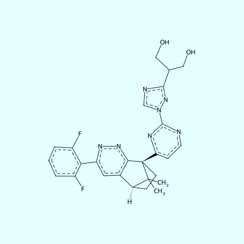 CC1(C)[C@H]2CC[C@@]1(c1ccnc(-n3cnc(C(CO)CO)n3)n1)c1nnc(-c3c(F)cccc3F)cc12